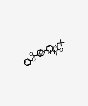 Cn1c(=O)n(CC(C)(C)C)c2ccc(N3CC4CCC3CN4C(=O)Oc3ccccc3)nc21